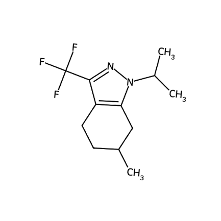 CC1CCc2c(C(F)(F)F)nn(C(C)C)c2C1